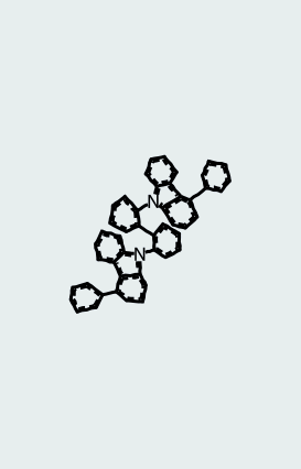 c1ccc(-c2cccc3c2c2ccccc2n3-c2ccccc2-c2ccccc2-n2c3ccccc3c3c(-c4ccccc4)cccc32)cc1